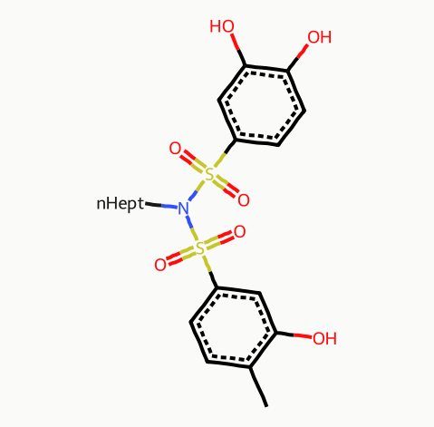 CCCCCCCN(S(=O)(=O)c1ccc(C)c(O)c1)S(=O)(=O)c1ccc(O)c(O)c1